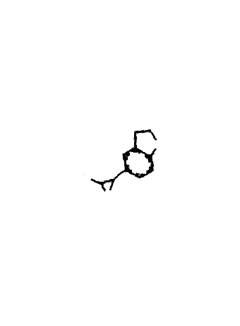 CC(=O)C1OC1c1ccc2c(c1)CCO2